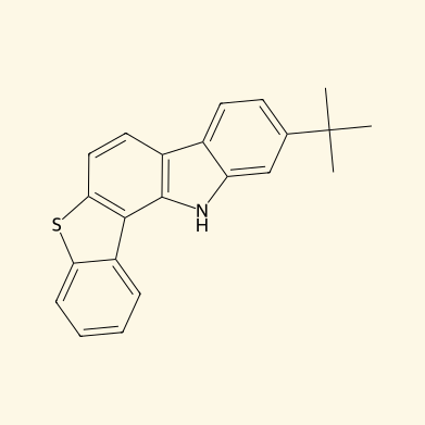 CC(C)(C)c1ccc2c(c1)[nH]c1c2ccc2sc3ccccc3c21